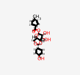 Cc1ccc(C(=O)O[C@@H]2O[C@@H]3CO[C@@H](c4ccc(O)cc4)O[C@H]3[C@H](O)[C@H]2O)cc1